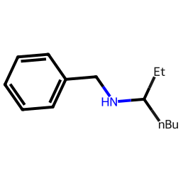 CCCCC(CC)NCc1ccccc1